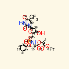 CC(C)OC(=O)[C@H](C)OC(=O)[C@H](C)NP(=O)(OC[C@H]1O[C@@H](n2cc(C(F)(F)F)c(=O)[nH]c2=O)C[C@@H]1O)Oc1ccccc1